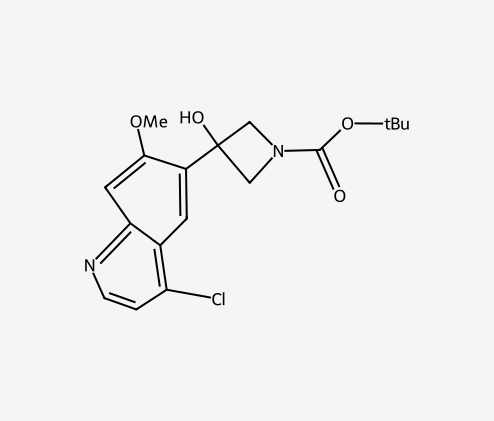 COc1cc2nccc(Cl)c2cc1C1(O)CN(C(=O)OC(C)(C)C)C1